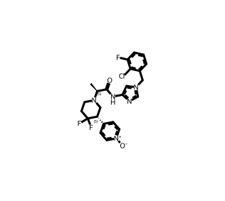 C[C@@H](C(=O)Nc1cn(Cc2cccc(F)c2Cl)cn1)N1CCC(F)(F)[C@@H](c2cc[n+]([O-])cc2)C1